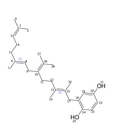 CC(C)=CCC/C(C)=C/CC(CC/C(C)=C(\C)Cc1cc(O)ccc1O)=C(C)C